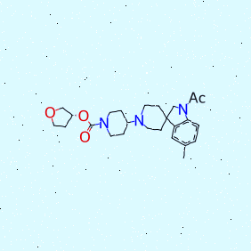 CC(=O)N1CC2(CCN(C3CCN(C(=O)O[C@@H]4CCOC4)CC3)CC2)c2cc(C)ccc21